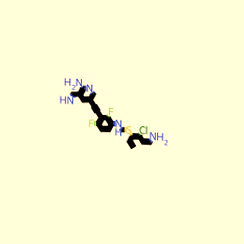 C=C/C(SCNc1ccc(F)c(C#Cc2cnc(N)c(C=N)c2)c1F)=C(Cl)\C=C/N